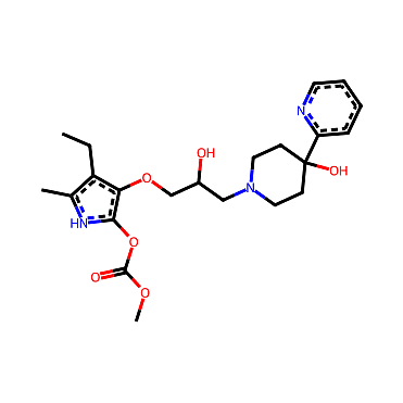 CCc1c(C)[nH]c(OC(=O)OC)c1OCC(O)CN1CCC(O)(c2ccccn2)CC1